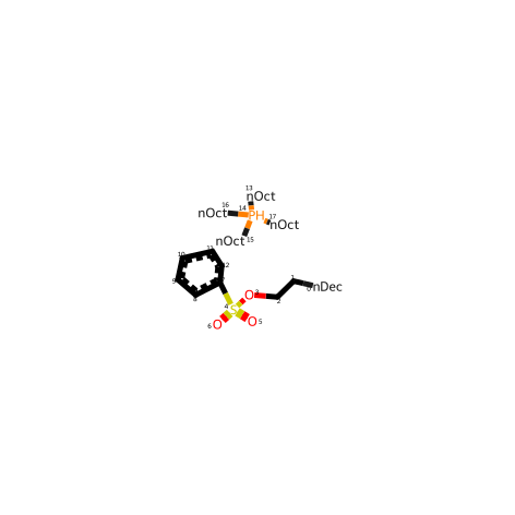 CCCCCCCCCCCCOS(=O)(=O)c1ccccc1.CCCCCCCC[PH](CCCCCCCC)(CCCCCCCC)CCCCCCCC